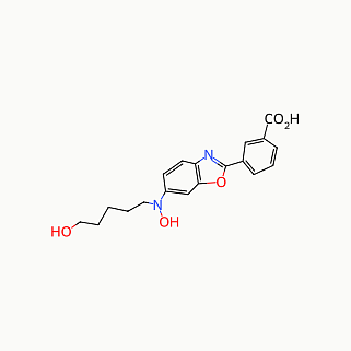 O=C(O)c1cccc(-c2nc3ccc(N(O)CCCCCO)cc3o2)c1